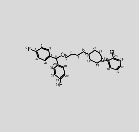 Fc1ccc(C(OCCCCN2CCN(c3ccccc3Cl)CC2)c2ccc(F)cc2)cc1